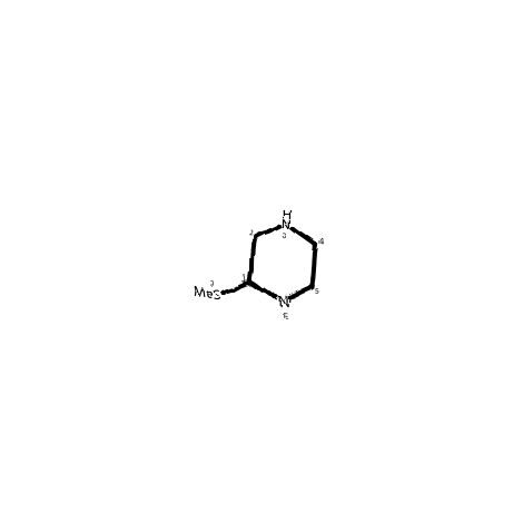 CSC1CNCC[N]1